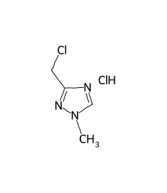 Cl.Cn1cnc(CCl)n1